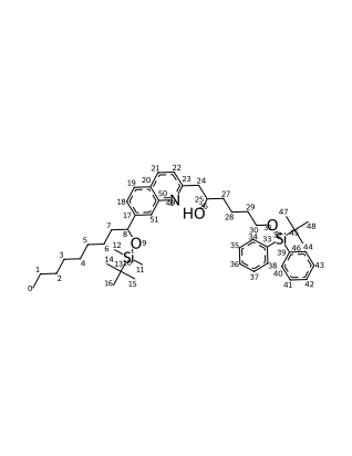 CCCCCCCCC(O[Si](C)(C)C(C)(C)C)c1ccc2ccc(CC(O)CCCCO[Si](c3ccccc3)(c3ccccc3)C(C)(C)C)nc2c1